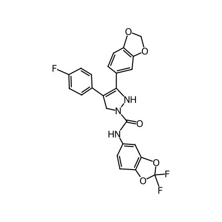 O=C(Nc1ccc2c(c1)OC(F)(F)O2)N1CC(c2ccc(F)cc2)=C(c2ccc3c(c2)OCO3)N1